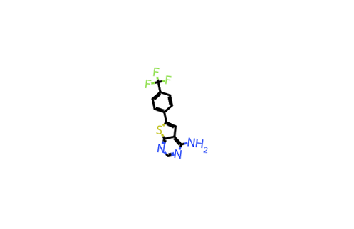 Nc1ncnc2sc(-c3ccc(C(F)(F)F)cc3)cc12